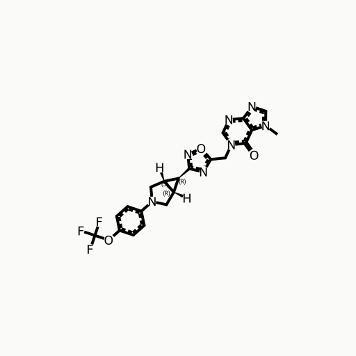 Cn1cnc2ncn(Cc3nc([C@H]4[C@@H]5CN(c6ccc(OC(F)(F)F)cc6)C[C@@H]54)no3)c(=O)c21